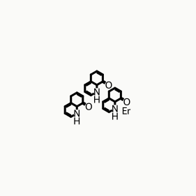 O=C1C=CCC2=CC=CNC12.O=C1C=CCC2=CC=CNC12.O=C1C=CCC2=CC=CNC12.[Er]